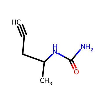 C#CCC(C)NC(N)=O